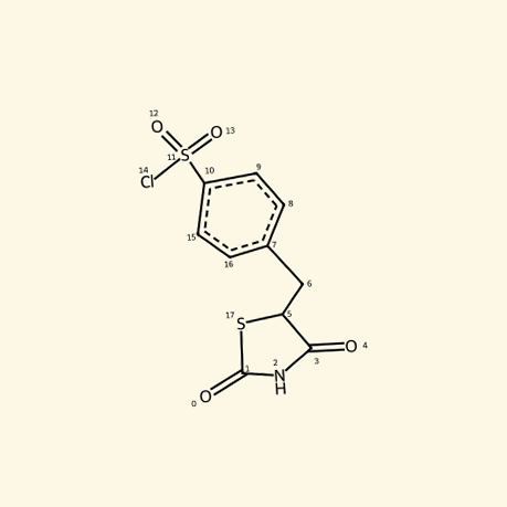 O=C1NC(=O)C(Cc2ccc(S(=O)(=O)Cl)cc2)S1